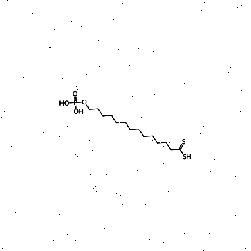 O=P(O)(O)OCCCCCCCCCCCCCC(=S)S